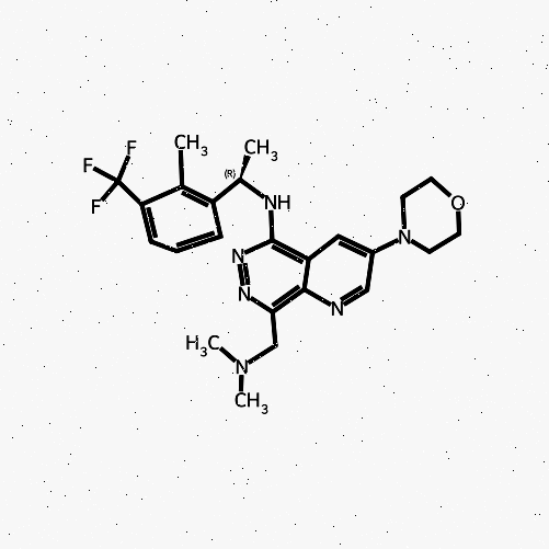 Cc1c([C@@H](C)Nc2nnc(CN(C)C)c3ncc(N4CCOCC4)cc23)cccc1C(F)(F)F